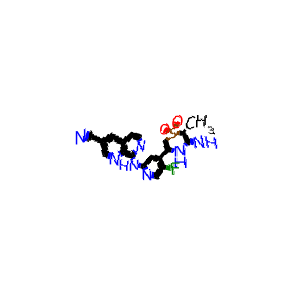 C[C@H]1C(=N)NC(c2cc(Nc3nccc4cc(C#N)cnc34)ncc2F)CS1(=O)=O